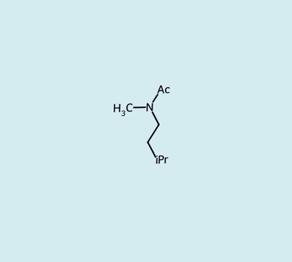 CC(=O)N(C)CCC(C)C